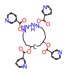 O=C(OC1CCCN(OC(=O)c2cccnc2)NNN(OC(=O)c2cccnc2)CCCC(OC(=O)c2cccnc2)CC1)c1cccnc1